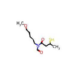 COCCCCCN(C=O)C(=O)CC(C)S